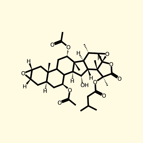 CC(=O)O[C@H]1C[C@H]2C[C@@H]3O[C@@H]3C[C@]2(C)C2C[C@H](OC(C)=O)[C@]3(C)[C@H]4[C@H](C)[C@H]5O[C@]56OC(=O)[C@@](C)(OC(=O)CC(C)C)[C@]6(C)[C@@H]4[C@H](O)[C@H]3C21